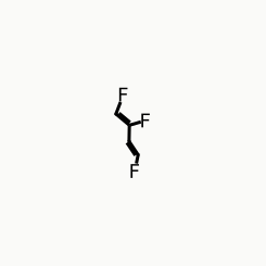 FC=CC(F)=CF